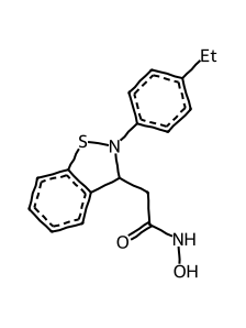 CCc1ccc(N2Sc3ccccc3C2CC(=O)NO)cc1